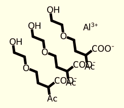 CC(=O)C(CCOCCO)C(=O)[O-].CC(=O)C(CCOCCO)C(=O)[O-].CC(=O)C(CCOCCO)C(=O)[O-].[Al+3]